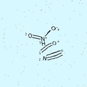 C#N.O=[NH+][O-].[CH]=O